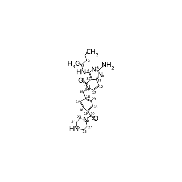 CCCC(C)Nc1nc(N)nc2ccn(Cc3ccc(C(=O)N4CCNCC4)cc3)c(=O)c12